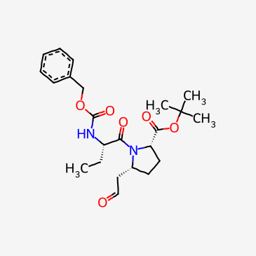 CC[C@H](NC(=O)OCc1ccccc1)C(=O)N1[C@@H](CC=O)CC[C@H]1C(=O)OC(C)(C)C